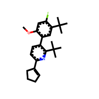 COc1cc(F)c(C(C)(C)C)cc1-c1ccc(C2=CCCC2)nc1C(C)(C)C